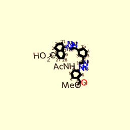 COC(=O)c1ccc(NC(C)=O)c(-n2cc(-c3cccc(-c4cn(-c5cccc6c(C(=O)O)cccc56)nn4)c3)nn2)c1